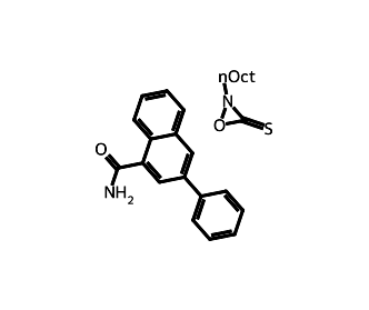 CCCCCCCCN1OC1=S.NC(=O)c1cc(-c2ccccc2)cc2ccccc12